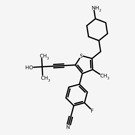 Cc1c(CC2CCC(N)CC2)sc(C#CC(C)(C)O)c1-c1ccc(C#N)c(F)c1